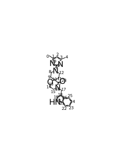 Cc1cc(C)nc(N2CCC3(CC2)OCCN(Cc2c[nH]c4ccccc24)C3=O)n1